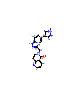 Cn1cc(-c2cc(F)c3nnc(Cn4ccc5ncccc5c4=O)n3c2)cn1